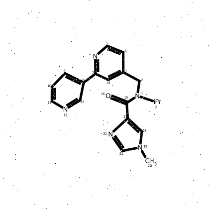 CC(C)N(Cc1ccnc(-c2cccnc2)c1)C(=O)c1cn(C)cn1